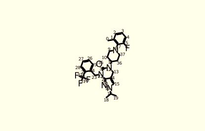 Cc1cccc(F)c1N1CCC(N2Cc3cn(C(C)C)nc3N(Cc3ccccc3C(F)(F)F)C2=O)CC1